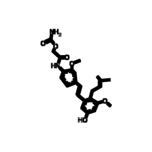 COc1cc(/C=C/c2cc(O)cc(OC)c2CC=C(C)C)ccc1NC(=O)COC(N)=O